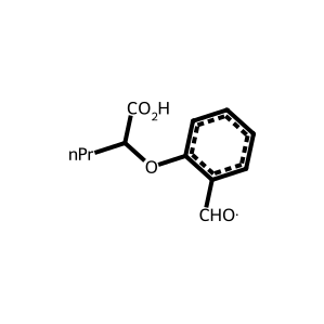 CCCC(Oc1ccccc1[C]=O)C(=O)O